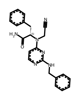 N#CCN(c1ccnc(NCc2ccccc2)n1)[C@@H](Cc1ccccc1)C(N)=O